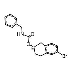 O=C(NCc1ccccc1)O[C@@H]1CCc2cc(Br)ccc2C1